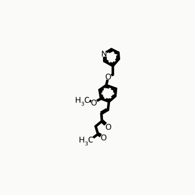 COc1cc(OCc2cccnc2)ccc1C=CC(=O)CC(C)=O